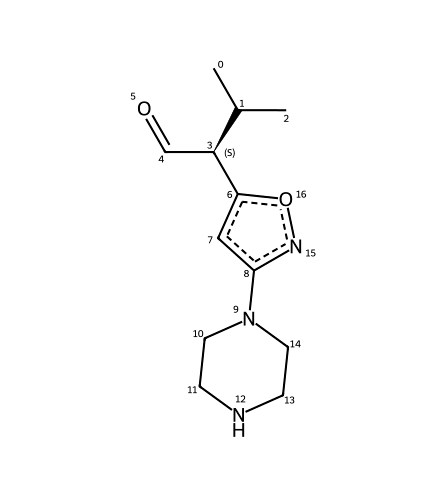 CC(C)[C@H](C=O)c1cc(N2CCNCC2)no1